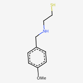 COc1ccc(CNCCS)cc1